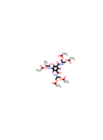 CC(=O)OCC(COC(C)=O)NC(=O)c1c(I)c(NC(=O)[C@@H](C)OC(C)=O)c(I)c(C(=O)NC(COC(C)=O)COC(C)=O)c1I